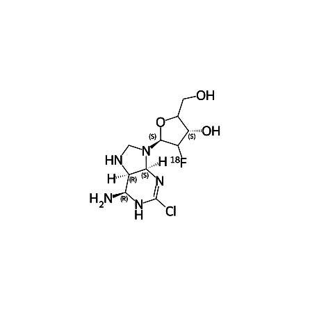 N[C@@H]1NC(Cl)=N[C@H]2[C@@H]1NCN2[C@H]1OC(CO)[C@H](O)C1[18F]